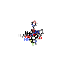 CC(C)(C)OC(=O)Nc1sc2c(F)cnc(-c3c4c(c5c(N6C7CCC6CN(C(=O)OC(C)(C)C)C7)nc(OCCN6CCOCC6)nc5c3F)COC4)c2c1C#N